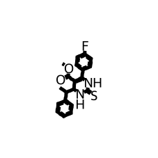 COC(=O)C1=C(c2ccc(F)cc2)NC(=S)NC1C(C)c1ccccc1